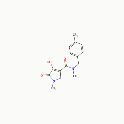 CN1CC(C(=O)N(C)Cc2ccc(C(F)(F)F)cc2)=C(O)C1=O